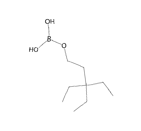 CCC(CC)(CC)CCOB(O)O